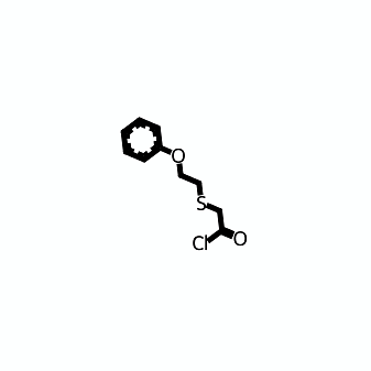 O=C(Cl)CSCCOc1ccccc1